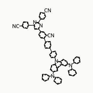 N#Cc1ccc(-c2cc(-c3ccc(-c4ccc(-c5ccc(-n6c7ccc(N(c8ccccc8)c8ccccc8)cc7c7cc(N(c8ccccc8)c8ccccc8)ccc76)cc5)cc4)c(C#N)c3)nc(-c3ccc(C#N)cc3)n2)cc1